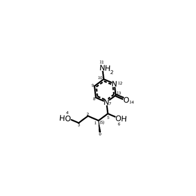 C[C@@H](CCO)C(O)n1ccc(N)nc1=O